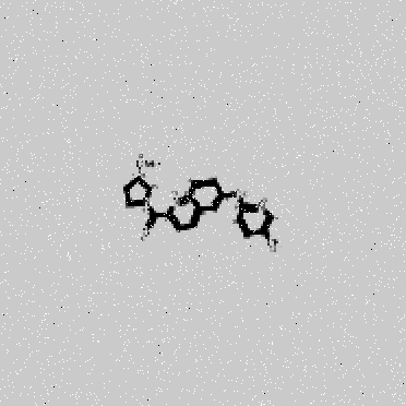 CO[C@H]1CCN(C(=O)c2ccc3cc(Oc4ccc(C(F)(F)F)cn4)ccc3n2)C1